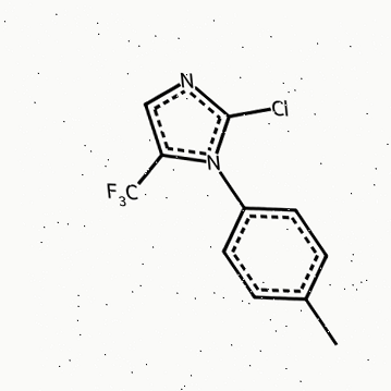 Cc1ccc(-n2c(C(F)(F)F)cnc2Cl)cc1